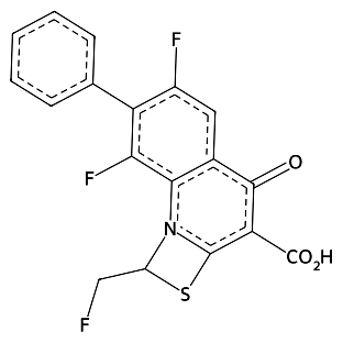 O=C(O)c1c2n(c3c(F)c(-c4ccccc4)c(F)cc3c1=O)C(CF)S2